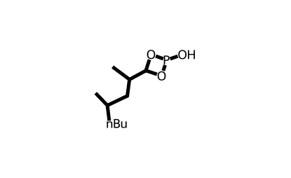 CCCCC(C)CC(C)C1OP(O)O1